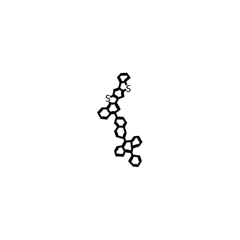 c1ccc(-c2c3ccccc3c(-c3ccc4cc(-c5cc6c7cc8sc9ccccc9c8cc7sc6c6ccccc56)ccc4c3)c3ccccc23)cc1